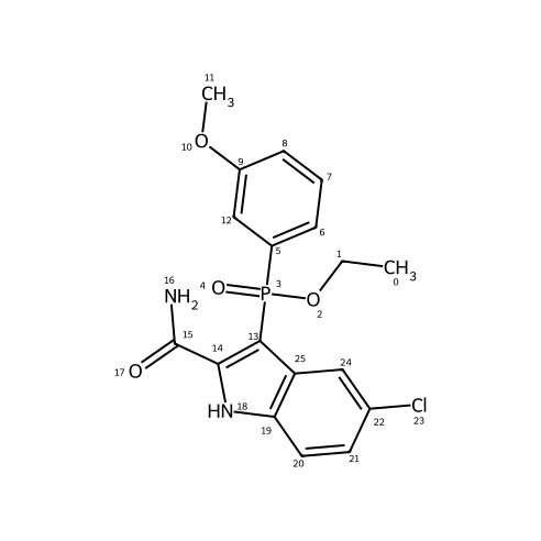 CCOP(=O)(c1cccc(OC)c1)c1c(C(N)=O)[nH]c2ccc(Cl)cc12